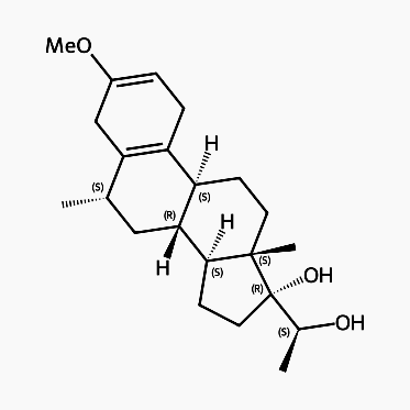 COC1=CCC2=C(C1)[C@@H](C)C[C@@H]1[C@@H]2CC[C@@]2(C)[C@H]1CC[C@]2(O)[C@H](C)O